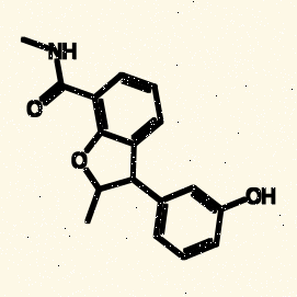 CNC(=O)c1cccc2c1OC(C)C2c1cccc(O)c1